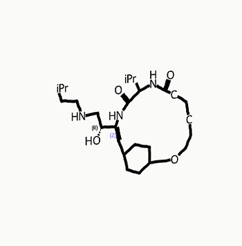 CC(C)CCNC[C@@H](O)/C1=C/C2CCC(CC2)OCCCCCC(=O)NC(C(C)C)C(=O)N1